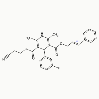 CC1=C(C(=O)OC/C=C/c2ccccc2)C(c2cccc(F)c2)C(C(=O)OCCC#N)=C(C)N1